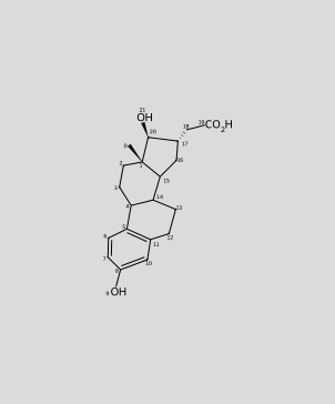 C[C@]12CCC3c4ccc(O)cc4CCC3C1C[C@@H](CC(=O)O)[C@@H]2O